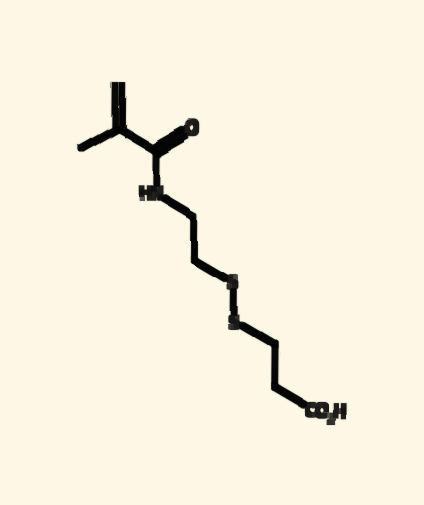 C=C(C)C(=O)NCCSSCCC(=O)O